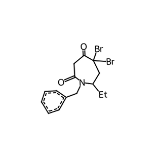 CCC1CC(Br)(Br)C(=O)CC(=O)N1Cc1ccccc1